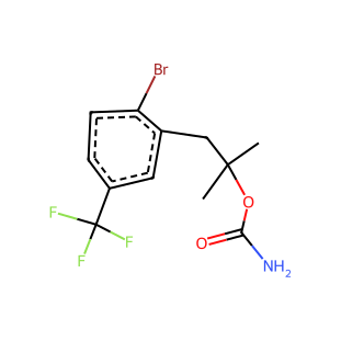 CC(C)(Cc1cc(C(F)(F)F)ccc1Br)OC(N)=O